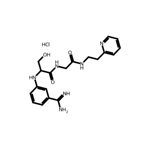 Cl.N=C(N)c1cccc(NC(CO)C(=O)NCC(=O)NCCc2ccccn2)c1